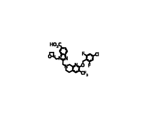 O=C(O)c1ccc2nc(CN3CCc4cc(C(F)(F)F)c(OCc5c(F)cc(Cl)cc5F)nc4C3)n(C[C@@H]3CCO3)c2c1